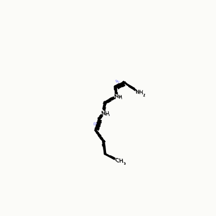 CCC/C=C\NCN/C=C\N